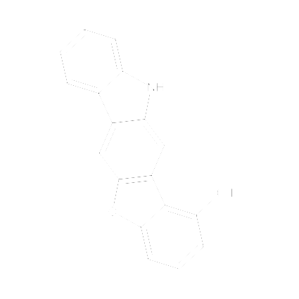 Cc1cccc2oc3cc4c(cc3c12)[nH]c1ccccc14